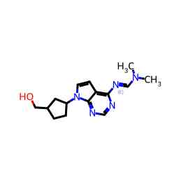 CN(C)/C=N/c1ncnc2c1ccn2C1CCC(CO)C1